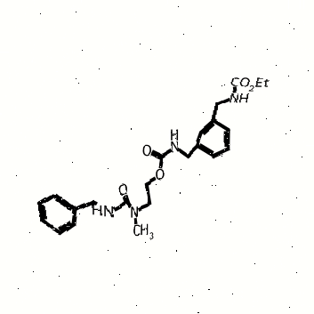 CCOC(=O)NCc1cccc(CNC(=O)OCCN(C)C(=O)NCc2ccccc2)c1